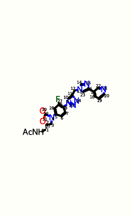 CC(=O)NC[C@H]1CN(c2ccc(-n3cc(Cn4cnc(-c5cccnc5)c4)nn3)c(F)c2)C(=O)O1